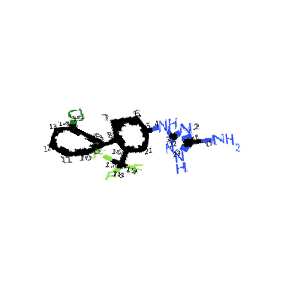 Nc1nc(Nc2ccc(-c3ccccc3Cl)c(C(F)(F)F)c2)n[nH]1